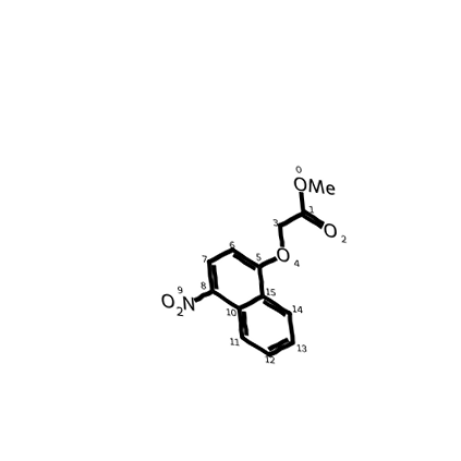 COC(=O)COc1ccc([N+](=O)[O-])c2ccccc12